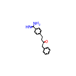 N=C(N)c1ccc(CCC(=O)Cc2ccccc2)cc1